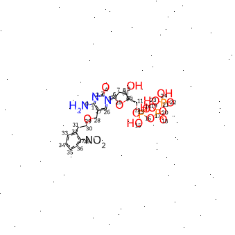 Nc1nc(=O)n([C@H]2C[C@H](O)[C@@H](COP(=O)(O)OP(=O)(O)OP(=O)(O)O)O2)cc1COCCc1ccccc1[N+](=O)[O-]